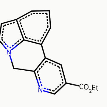 CCOC(=O)c1cnc2c(c1)-c1cccc3ccn(c13)C2